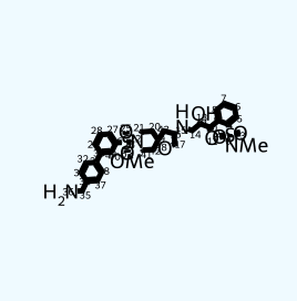 CNS(=O)(=O)c1ccccc1C(=O)C(O)CN[C@@H]1COC2(CCN(S(=O)(=O)c3cccc(-c4ccc(CN)cc4)c3OC)CC2)C1